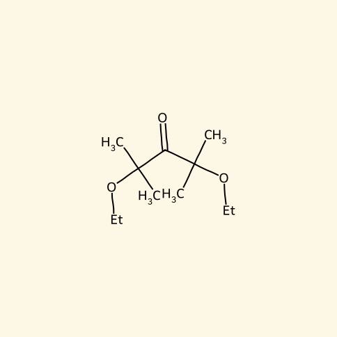 CCOC(C)(C)C(=O)C(C)(C)OCC